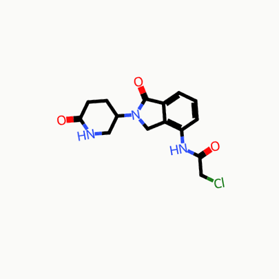 O=C1CCC(N2Cc3c(NC(=O)CCl)cccc3C2=O)CN1